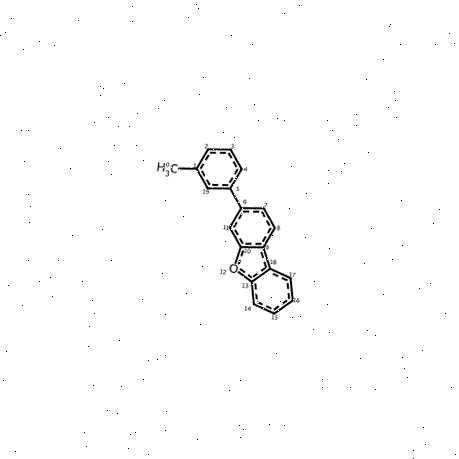 Cc1cccc(-c2ccc3c(c2)oc2ccccc23)c1